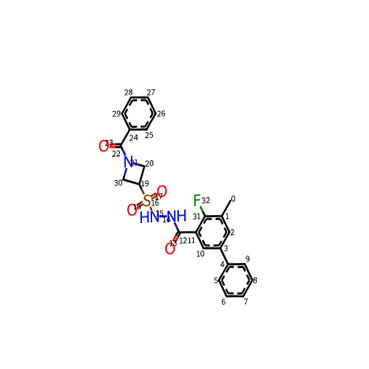 Cc1cc(-c2ccccc2)cc(C(=O)NNS(=O)(=O)C2CN(C(=O)c3ccccc3)C2)c1F